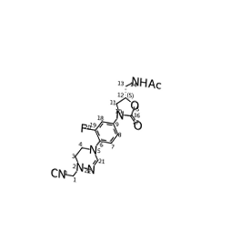 [C-]#[N+]CN1CCN(c2ccc(N3C[C@H](CNC(C)=O)OC3=O)cc2F)C=N1